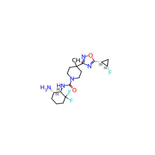 CC1(c2noc([C@@H]3C[C@@H]3F)n2)CCN(C(=O)N[C@@H]2[C@@H](N)CCCC2(F)F)CC1